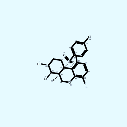 CC[C@H]1[C@@H](O)CC[C@@]2(S(=O)(=O)c3ccc(Cl)cc3)c3c(F)ccc(F)c3OC[C@@H]12